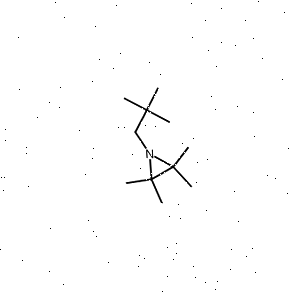 CC(C)(C)CN1C(C)(C)C1(C)C